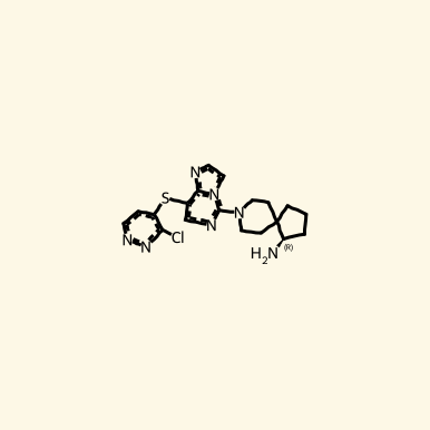 N[C@@H]1CCCC12CCN(c1ncc(Sc3ccnnc3Cl)c3nccn13)CC2